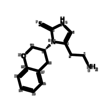 NCCc1c[nH]c(=S)n1[C@H]1COc2ccccc2C1